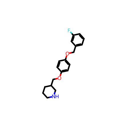 Fc1cccc(COc2ccc(OCC3CCCNC3)cc2)c1